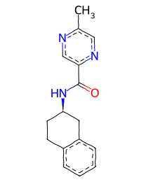 Cc1cnc(C(=O)N[C@@H]2CCc3ccccc3C2)cn1